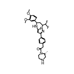 COc1ccc(C2CC(C(F)F)n3nc(-c4ccc(CC(=O)N5CCNC[C@H]5C)cc4)cc3N2)cc1OC